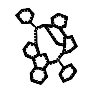 c1ccc(-n2c3cccc4c5ccccc5c(cc43)n(-c3ccccc3)c3cccc4c5ccccc5c2cc43)cc1